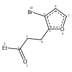 CCC(=O)CCc1occc1Br